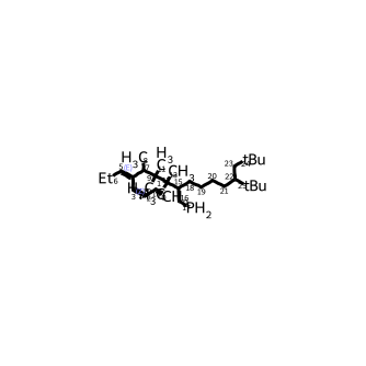 C=C/C=C\C(=C/CC)C(C)C(C)(C)C(C)(C)C(CP)CCCCC(CC(C)(C)C)C(C)(C)C